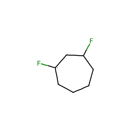 F[C]1CCCCC(F)C1